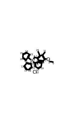 CCOc1cc(C)c(C[P+](c2ccccc2)(c2ccccc2)c2ccccc2)c(C)c1C.[Cl-]